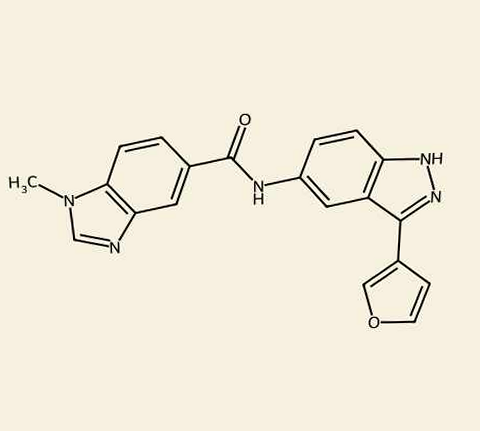 Cn1cnc2cc(C(=O)Nc3ccc4[nH]nc(-c5ccoc5)c4c3)ccc21